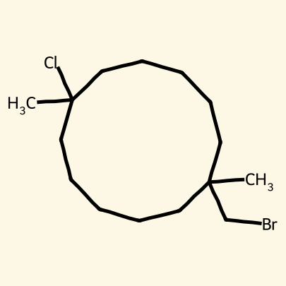 CC1(Cl)CCCCCC(C)(CBr)CCCCC1